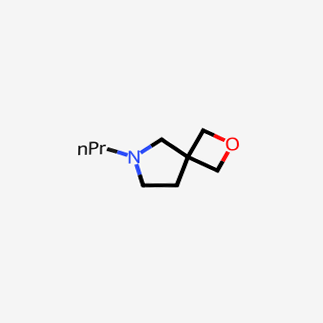 CCCN1CCC2(COC2)C1